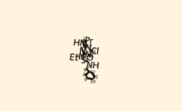 CCN(SC(=O)NCc1ccccc1)c1nc(Cl)nc(NC(C)C)n1